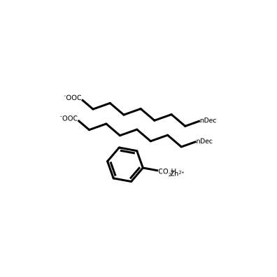 CCCCCCCCCCCCCCCCCC(=O)[O-].CCCCCCCCCCCCCCCCCC(=O)[O-].O=C(O)c1ccccc1.[Zn+2]